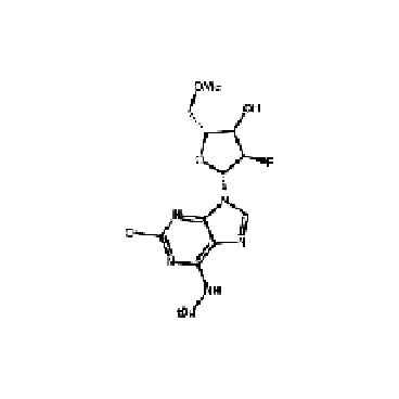 COC[C@H]1O[C@@H](n2cnc3c(NC(C)(C)C)nc(Cl)nc32)[C@H](F)C1O